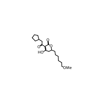 COCCCCCCC1CC(O)=C(C(=O)CC2CCCC2)C(=O)O1